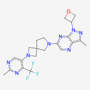 Cc1ncc(N2CC3(CCN(c4cnc5c(C)nn(C6COC6)c5n4)C3)C2)c(C(F)(F)F)n1